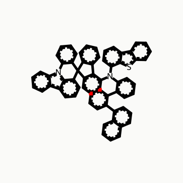 c1ccc(-c2cccc3ccccc23)c(-c2ccccc2N(c2cccc3c2-c2ccccc2C32c3ccccc3-n3c4ccccc4c4cccc2c43)c2cccc3c2sc2ccccc23)c1